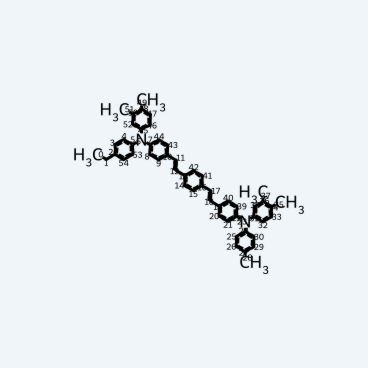 CCc1ccc(N(c2ccc(C=Cc3ccc(C=Cc4ccc(N(c5ccc(C)cc5)c5ccc(C)c(C)c5)cc4)cc3)cc2)c2ccc(C)c(C)c2)cc1